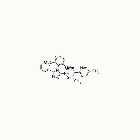 COc1ncnc(OC)c1-n1c(NS[C@@H](C)C(OC)c2ncc(C)cn2)nnc1-c1ccccn1